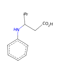 CC(C)C(CC(=O)O)Nc1ccccc1